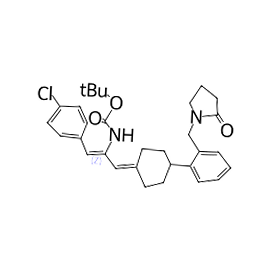 CC(C)(C)OC(=O)N/C(C=C1CCC(c2ccccc2CN2CCCC2=O)CC1)=C\c1ccc(Cl)cc1